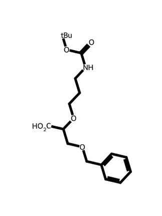 CC(C)(C)OC(=O)NCCCOC(COCc1ccccc1)C(=O)O